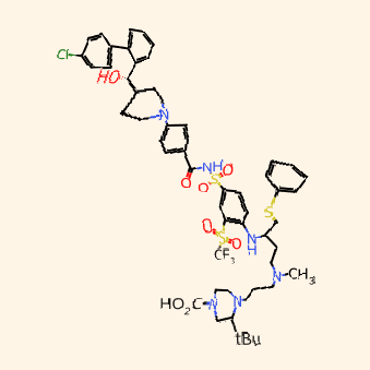 CN(CCCN1CCN(C(=O)O)CC1C(C)(C)C)CCC(CSc1ccccc1)Nc1ccc(S(=O)(=O)NC(=O)c2ccc(N3CCC([C@H](O)c4ccccc4-c4ccc(Cl)cc4)CC3)cc2)cc1S(=O)(=O)C(F)(F)F